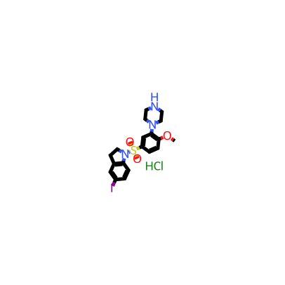 COc1ccc(S(=O)(=O)N2CCc3cc(I)ccc32)cc1N1CCNCC1.Cl